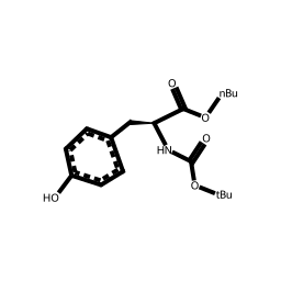 CCCCOC(=O)[C@H](Cc1ccc(O)cc1)NC(=O)OC(C)(C)C